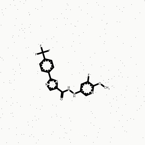 COc1ncc(NNC(=O)c2cnc(-c3ccc(C(F)(F)F)cc3)s2)cc1F